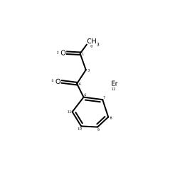 CC(=O)CC(=O)c1ccccc1.[Er]